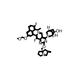 C=C1CN2CCC[C@]2(COc2nc(N3C[C@@H]4C[C@H](C3)[C@H](O)C4)c3cnc(-c4cc(OCOC)cc5ccc(F)c(CC)c45)c(F)c3n2)C1